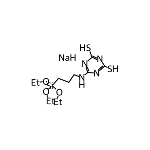 CCO[Si](CCCNc1nc(S)nc(S)n1)(OCC)OCC.[NaH]